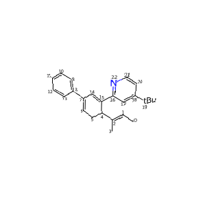 CC=C(C)C1CC=C(c2ccccc2)C=C1c1cc(C(C)(C)C)ccn1